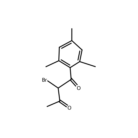 CC(=O)C(Br)C(=O)c1c(C)cc(C)cc1C